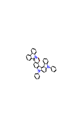 c1ccc(-n2c3ccccc3c3c4c5c6c(ccc5n(-c5ccccc5)c4ccc32)B2c3ccccc3-c3ccccc3N2c2ccccc2-6)cc1